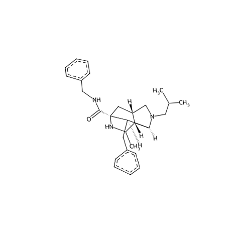 CC(C)CN1C[C@H]2C[C@]3(C(=O)NCc4ccccc4)NC(C)[C@H]2[C@H]1[C@H]3Cc1ccccc1